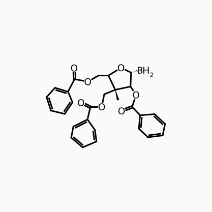 B[C@H]1OC(COC(=O)c2ccccc2)[C@@](C)(COC(=O)c2ccccc2)C1OC(=O)c1ccccc1